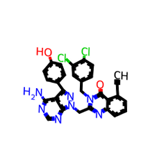 C#Cc1cccc2nc(Cn3nc(-c4ccc(O)cc4)c4c(N)ncnc43)n(Cc3ccc(Cl)c(Cl)c3)c(=O)c12